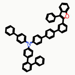 c1ccc(-c2ccc(N(c3ccc(-c4ccc(-c5cccc(-c6oc7ccccc7c6-c6ccccc6)c5)cc4)cc3)c3ccc(-c4ccccc4-c4ccccc4)cc3)cc2)cc1